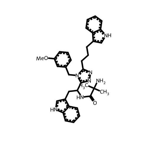 COc1cccc(Cn2c(CCCc3c[nH]c4ccccc34)nnc2C(Cc2c[nH]c3ccccc23)NC(=O)C(C)(C)N)c1